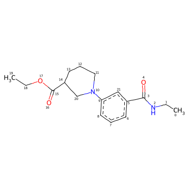 CCNC(=O)c1cccc(N2CCCC(C(=O)OCC)C2)c1